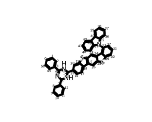 c1ccc(C2=NC(c3ccccc3)NC(c3ccc4c(c3)sc3cc5c(cc34)sc3cccc(-n4c6ccccc6c6ccccc64)c35)N2)cc1